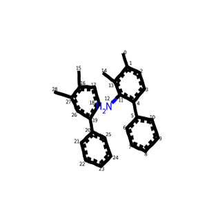 Cc1ccc(-c2ccccc2)c(N)c1C.Cc1ccc(-c2ccccc2)cc1C